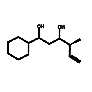 C=C[C@H](C)C(O)CC(O)C1CCCCC1